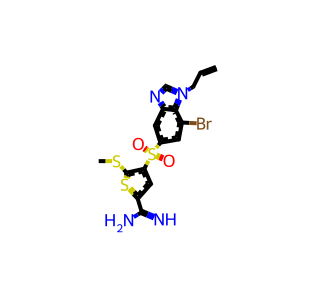 C=CCn1cnc2cc(S(=O)(=O)c3cc(C(=N)N)sc3SC)cc(Br)c21